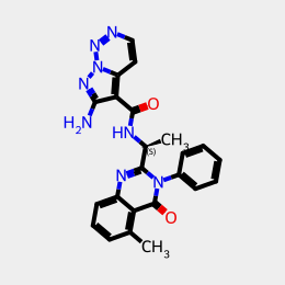 Cc1cccc2nc([C@H](C)NC(=O)c3c(N)nn4nnccc34)n(-c3ccccc3)c(=O)c12